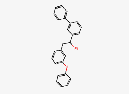 OC(Cc1cccc(Oc2ccccc2)c1)c1cccc(-c2ccccc2)c1